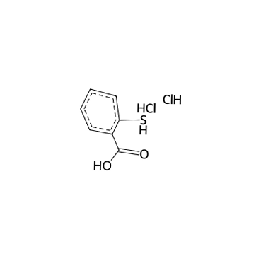 Cl.Cl.O=C(O)c1ccccc1S